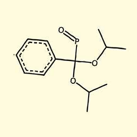 CC(C)OC(OC(C)C)(P=O)c1cc[c]cc1